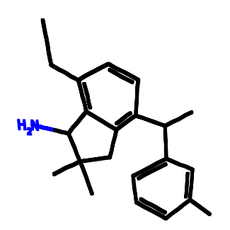 CCc1ccc(C(C)c2cccc(C)c2)c2c1C(N)C(C)(C)C2